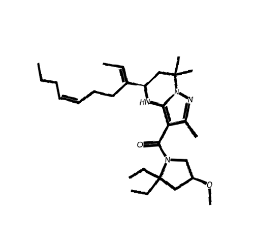 C/C=C(\CC/C=C\CCC)[C@H]1CC(C)(C)n2nc(C)c(C(=O)N3CC(OC)CC3(CC)CC)c2N1